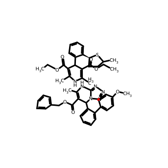 CCOC(=O)C1=C(C)NC(C)=C(C(=O)OCC)C1c1ccccc1[C@@H]1CCC(C)S1.COc1ccc(-c2ccccc2C2C(C(=O)OCc3ccccc3)=C(C)Nc3nnnn32)cc1